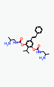 CC(N)CNC(=O)Oc1cc(/C=C/c2ccccc2)cc(OC(=O)NCC(C)N)c1C(C)C